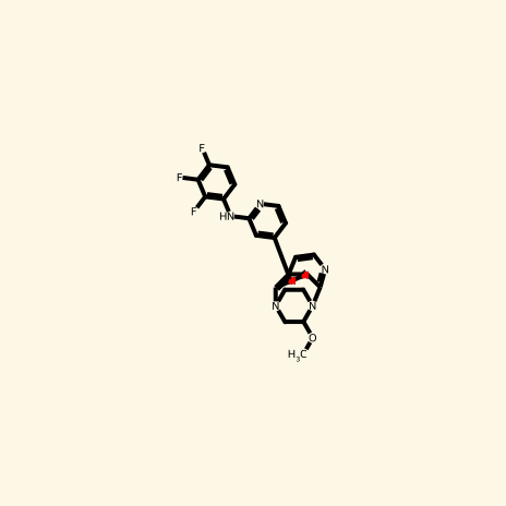 COC1CN2CCN1c1nccc3c2nc(-c2ccnc(Nc4ccc(F)c(F)c4F)c2)nc13